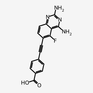 Nc1nc(N)c2c(F)c(C#Cc3ccc(C(=O)O)cc3)ccc2n1